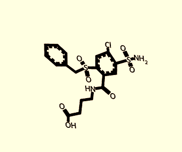 NS(=O)(=O)c1cc(C(=O)NCCCC(=O)O)c(S(=O)(=O)Cc2ccccc2)cc1Cl